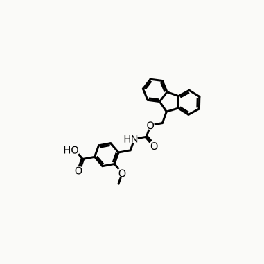 COc1cc(C(=O)O)ccc1CNC(=O)OCC1c2ccccc2-c2ccccc21